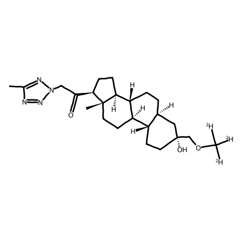 [2H]C([2H])([2H])OC[C@@]1(O)CC[C@H]2[C@@H](CC[C@@H]3[C@@H]2CC[C@]2(C)[C@@H](C(=O)Cn4nnc(C)n4)CC[C@@H]32)C1